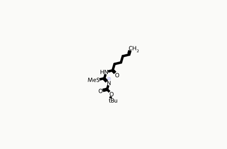 C=CCCCC(=O)N/C(=N/C(=O)OC(C)(C)C)SC